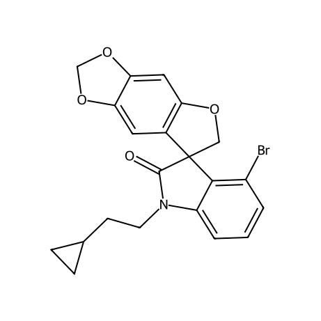 O=C1N(CCC2CC2)c2cccc(Br)c2C12COc1cc3c(cc12)OCO3